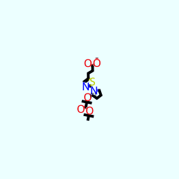 COC(=O)CCc1cnc(N2CCC[C@@H]2OC(C)(C)C(=O)OC(C)(C)C)s1